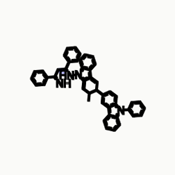 CC1C=c2c(c3ccccc3n2N/C(=C\C(=N)c2ccccc2)c2ccccc2)=CC1c1ccc2c(c1)c1ccccc1n2-c1ccccc1